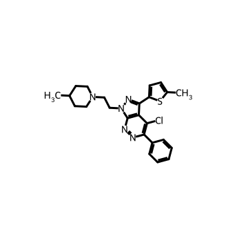 Cc1ccc(-c2nn(CCN3CCC(C)CC3)c3nnc(-c4ccccc4)c(Cl)c23)s1